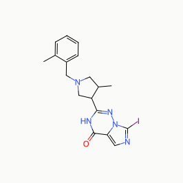 Cc1ccccc1CN1CC(C)C(c2nn3c(I)ncc3c(=O)[nH]2)C1